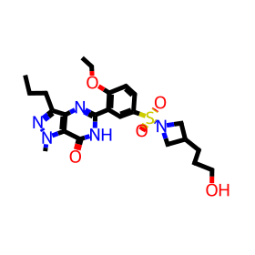 CCCc1nn(C)c2c(=O)[nH]c(-c3cc(S(=O)(=O)N4CC(CCCO)C4)ccc3OCC)nc12